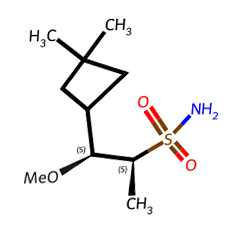 CO[C@@H](C1CC(C)(C)C1)[C@H](C)S(N)(=O)=O